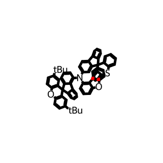 CC(C)(C)c1ccc2c(c1)C1(c3cc(C(C)(C)C)ccc3O2)c2ccccc2-c2c(N(c3ccc4c(c3)C3(c5ccccc5Sc5ccccc53)c3ccccc3-4)c3cccc4oc5ccccc5c34)cccc21